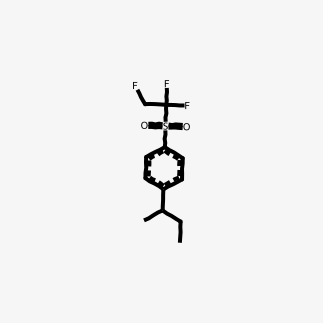 CCC(C)c1ccc(S(=O)(=O)C(F)(F)CF)cc1